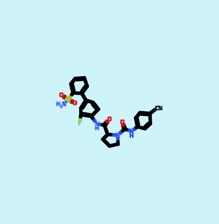 N#Cc1ccc(NC(=O)N2CCCC2C(=O)Nc2ccc(-c3ccccc3S(N)(=O)=O)cc2F)cc1